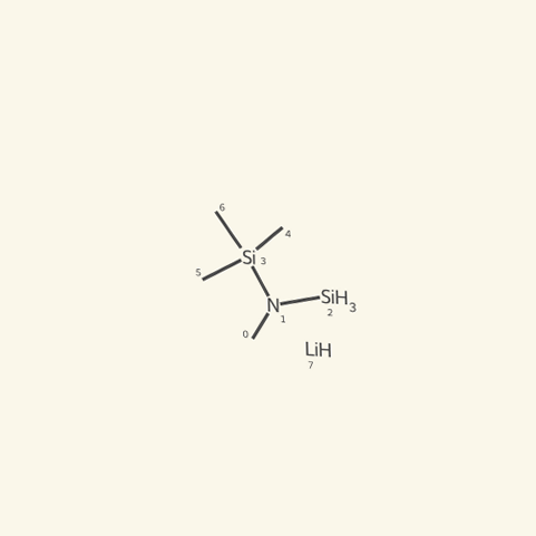 CN([SiH3])[Si](C)(C)C.[LiH]